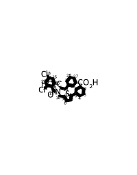 O=C(O)c1cccc(-c2ccc(CN(C(=O)c3ccc(Cl)cc3Cl)C(Cc3ccccc3)C(=O)O)s2)c1